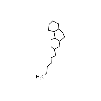 CCCCCCC1CCC2C(CCC3CCCCC32)C1